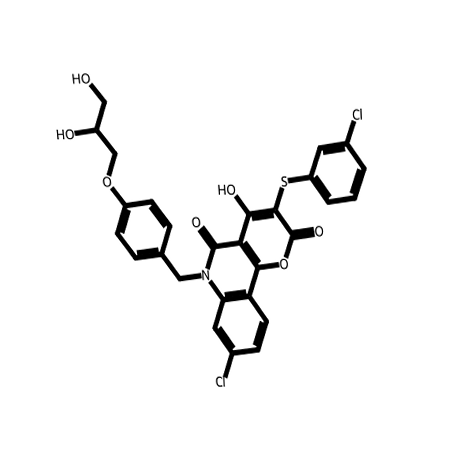 O=c1oc2c(c(O)c1Sc1cccc(Cl)c1)c(=O)n(Cc1ccc(OCC(O)CO)cc1)c1cc(Cl)ccc21